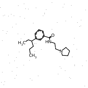 CCCC(CC)c1cccc(C(=O)NCCN2CCCC2)c1